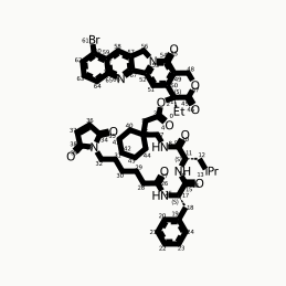 CC[C@@]1(OC(=O)CC2(CNC(=O)[C@H](CC(C)C)NC(=O)[C@H](Cc3ccccc3)NC(=O)CCCCCN3C(=O)C=CC3=O)CCCCC2)C(=O)OCc2c1cc1n(c2=O)Cc2cc3c(Br)cccc3nc2-1